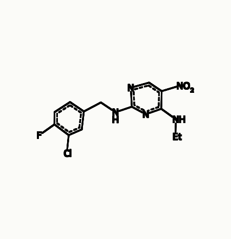 [CH2]CNc1nc(NCc2ccc(F)c(Cl)c2)ncc1[N+](=O)[O-]